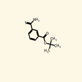 CC(C)(C)OC(=O)c1cccc(C(N)=S)c1